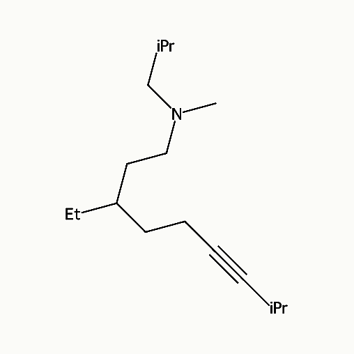 CCC(CCC#CC(C)C)CCN(C)CC(C)C